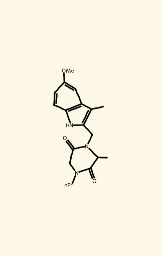 CCCN1CC(=O)N(Cc2[nH]c3ccc(OC)cc3c2C)C(C)C1=O